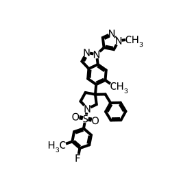 Cc1cc(S(=O)(=O)N2CCC(Cc3ccccc3)(c3cc4cnn(-c5cnn(C)c5)c4cc3C)C2)ccc1F